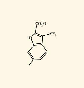 CCOC(=O)c1oc2cc(C)ccc2c1C(F)(F)F